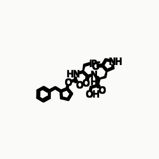 CC(C)C[C@H](NC(=O)OC1CCCC1Cc1ccccc1)C(=O)N[C@@H](C[C@@H]1CNCC1=O)C(=O)CO